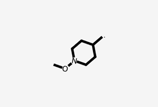 [CH2]C1CCN(OC)CC1